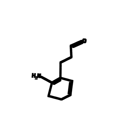 NC1=C(CCC=O)C=CCC1